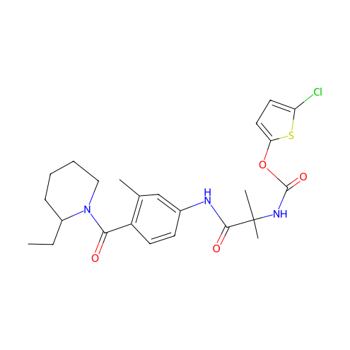 CCC1CCCCN1C(=O)c1ccc(NC(=O)C(C)(C)NC(=O)Oc2ccc(Cl)s2)cc1C